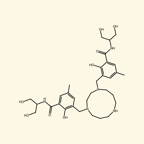 Cc1cc(CN2CCCNCCCN(Cc3cc(C)cc(C(=O)NC(CO)CO)c3O)CC2)c(O)c(C(=O)NC(CO)CO)c1